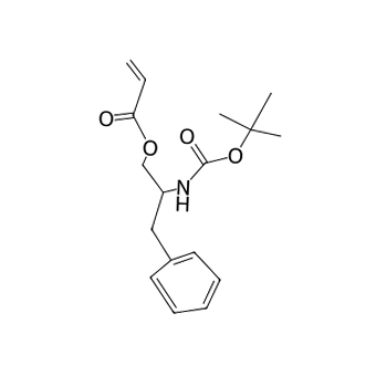 C=CC(=O)OCC(Cc1ccccc1)NC(=O)OC(C)(C)C